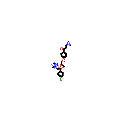 CN(C)/C=C/C(=O)c1ccc(OCC2COC(Cn3cncn3)(c3ccc(Br)cc3)O2)cc1